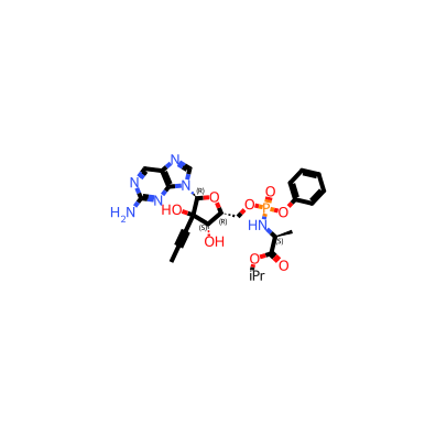 CC#CC1(O)[C@@H](O)[C@@H](COP(=O)(N[C@@H](C)C(=O)OC(C)C)Oc2ccccc2)O[C@H]1n1cnc2cnc(N)nc21